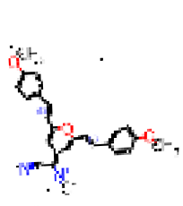 [C-]#[N+]C(C#N)=C1C=C(/C=C/c2ccc(OC)cc2)OC(/C=C/c2ccc(OC)cc2)=C1